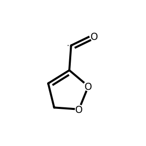 O=[C]C1=CCOO1